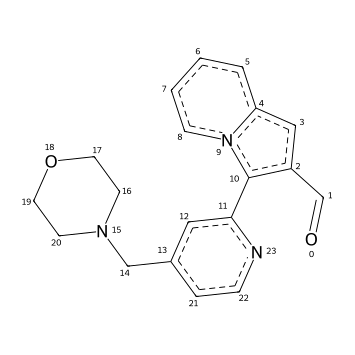 O=Cc1cc2ccccn2c1-c1cc(CN2CCOCC2)ccn1